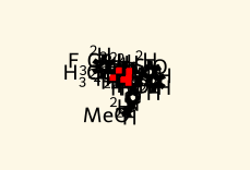 [2H]c1c([2H])c(F)c(F)c(C([2H])([2H])Sc2c([2H])c(=O)c3c([2H])c([2H])c([2H])c([2H])c3n2CC(=O)N(C2CCN(CC([2H])([2H])OC)CC2)C([2H])([2H])c2c([2H])c([2H])c(-c3c([2H])c([2H])c(C(F)(F)F)c(C)c3[2H])c([2H])c2[2H])c1[2H]